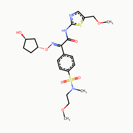 COCCN(C)S(=O)(=O)c1ccc(/C(=N\O[C@@H]2CC[C@@H](O)C2)C(=O)Nc2ncc(COC)s2)cc1